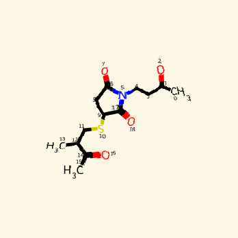 CC(=O)CCN1C(=O)CC(SCC(C)C(C)=O)C1=O